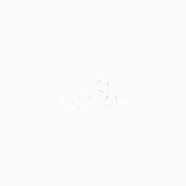 O=S(=O)(N[C@@H]1CC[C@@]2(S(=O)(=O)c3ccc(Cl)cc3)c3c(F)ccc(F)c3OCC2(O)C1)C1CC1